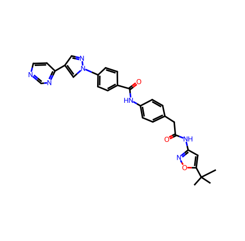 CC(C)(C)c1cc(NC(=O)Cc2ccc(NC(=O)c3ccc(-n4cc(-c5ccncn5)cn4)cc3)cc2)no1